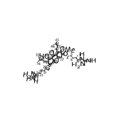 COc1c(OCCCCCNC(=N)N)cc2oc3cc(OCCCCCNC(=N)N)c(CC=C(C)C)c(O)c3c(=O)c2c1CC=C(C)C